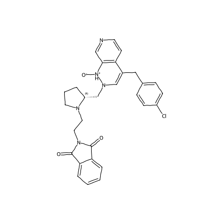 O=C1c2ccccc2C(=O)N1CCN1CCC[C@@H]1CN1C=C(Cc2ccc(Cl)cc2)c2ccncc2[NH+]1[O-]